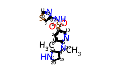 Cc1cc(S(=O)(=O)Nc2cscn2)cnc1N(C)[C@H]1CCNC1